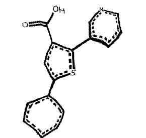 O=C(O)c1cc(-c2ccccc2)sc1-c1cccnc1